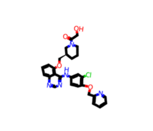 O=C(CO)N1CCC[C@@H](COc2cccc3ncnc(Nc4ccc(OCc5ccccn5)c(Cl)c4)c23)C1